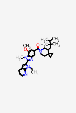 CCn1c(-c2nc3cc(C(=O)N4CCC5(CC5)C(CC(C)(C)C(C)C)C4)cc(OC)c3n2C)cc2cccnc21